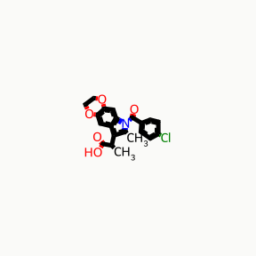 Cc1c(C(C)C(=O)O)c2cc3c(cc2n1C(=O)c1ccc(Cl)cc1)OCCO3